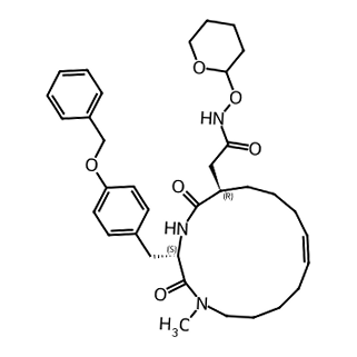 CN1CCCCC=CCCC[C@H](CC(=O)NOC2CCCCO2)C(=O)N[C@@H](Cc2ccc(OCc3ccccc3)cc2)C1=O